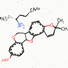 CC1(C)C=Cc2c(ccc3c2OC2c4ccc(O)cc4OCC32)O1.CSCC[C@H](N)C(=O)O